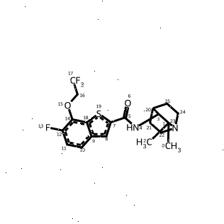 CC1(C)C(NC(=O)c2cc3ccc(F)c(OCC(F)(F)F)c3s2)C2CCN1CC2